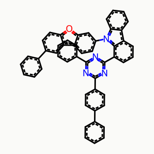 c1ccc(-c2ccc(-c3nc(-c4ccccc4)nc(-c4cccc5c6ccccc6n(-c6ccc7c(c6)oc6ccc(-c8ccccc8)cc67)c45)n3)cc2)cc1